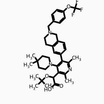 Cc1nc(C)c(C(OC(C)(C)C)C(=O)O)c(N2CCC(C)(C)CC2)c1-c1ccc2c(c1)CCN(Cc1ccc(OC(F)(F)F)cc1)C2